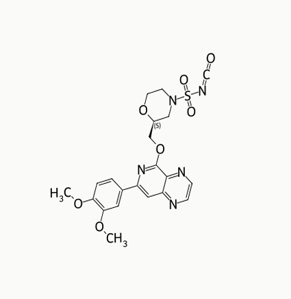 COc1ccc(-c2cc3nccnc3c(OC[C@@H]3CN(S(=O)(=O)N=C=O)CCO3)n2)cc1OC